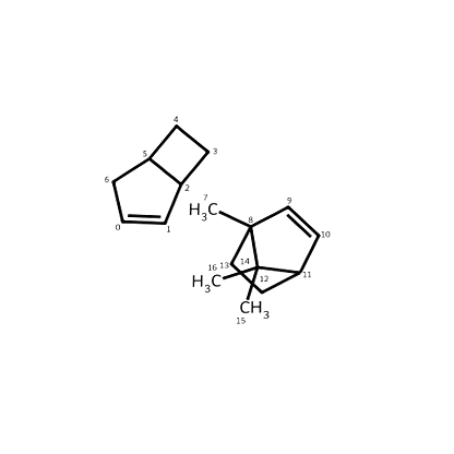 C1=CC2CCC2C1.CC12C=CC(CC1)C2(C)C